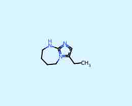 CCc1cnc2n1CCCCN2